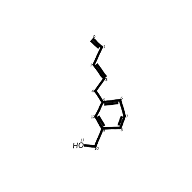 C=C/C=C/Cc1cccc(CO)c1